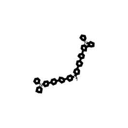 IN(c1ccc(-c2ccc(-c3ccc(-c4ccc(N(c5ccccc5)c5ccccc5)cc4)cc3)cc2)cc1)c1ccc(-c2ccc(-c3ccc(-c4ccc5c(c4)c4ccccc4n5-c4ccccc4)cc3)cc2)cc1